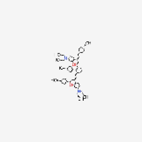 C#CCN(CC#C)c1ccc(C(=C\Cc2ccc(C#C)cc2)/C=C/C2=C(c3ccc(C#C)cc3)C(=C/C=C3\C=C(c4ccc(C#C)cc4)Oc4cc(N(CC#C)CC#C)ccc43)/CCC2)c(O)c1